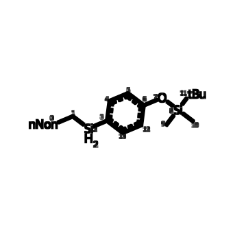 CCCCCCCCCC[SiH2]c1ccc(O[Si](C)(C)C(C)(C)C)cc1